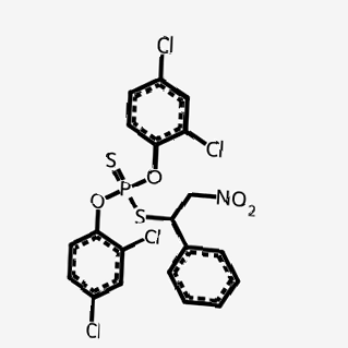 O=[N+]([O-])CC(SP(=S)(Oc1ccc(Cl)cc1Cl)Oc1ccc(Cl)cc1Cl)c1ccccc1